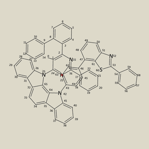 Cc1c(-c2ccccc2-c2ccccc2)nc(-c2ccccc2)nc1-n1c2ccccc2c2ccc3c4ccccc4n(-c4ccc(-c5cccc6nc(-c7ccccc7)sc56)cc4)c3c21